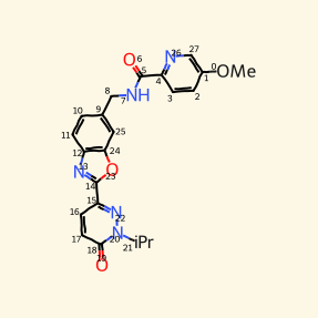 COc1ccc(C(=O)NCc2ccc3nc(-c4ccc(=O)n(C(C)C)n4)oc3c2)nc1